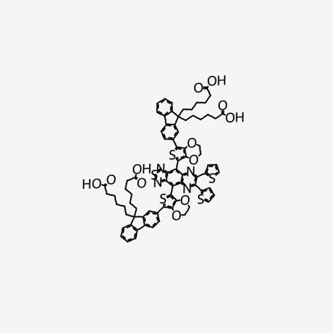 O=C(O)CCCCCC1(CCCCCC(=O)O)c2ccccc2-c2ccc(-c3sc(-c4c5nsnc5c(-c5sc(-c6ccc7c(c6)C(CCCCCC(=O)O)(CCCCCC(=O)O)c6ccccc6-7)c6c5OCCO6)c5nc(-c6cccs6)c(-c6cccs6)nc45)c4c3OCCO4)cc21